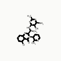 Cc1nc(N)c(C#N)c(N[C@@H](C)c2nc3cccc(Cl)c3c(=O)n2-c2cccnc2C)n1